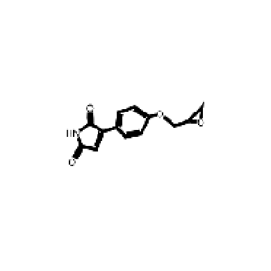 O=C1C=C(c2ccc(OCC3CO3)cc2)C(=O)N1